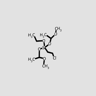 CCO[Si](CCCl)(OC(C)OC)OC(C)OC